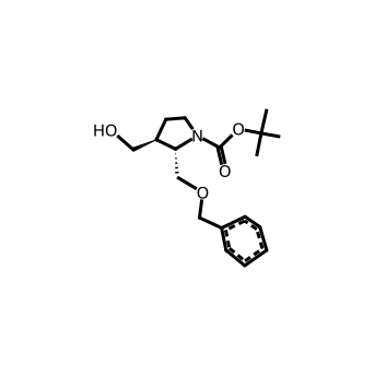 CC(C)(C)OC(=O)N1CC[C@H](CO)[C@H]1COCc1ccccc1